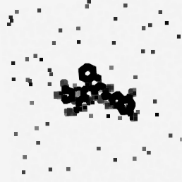 CC(C)(C)NC(=O)C(=O)[C@H](C[C@@H]1CCNC1=O)NC(=O)[C@H](CC1CCCCC1)NC(=O)C1Cc2c(Cl)cc(Cl)cc2N1